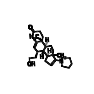 C[C@]12CCC(=O)CC1=C[C@H](CCO)[C@@H]1[C@@H]2CC[C@]2(C)C(N3CCCCC3)=CC[C@@H]12